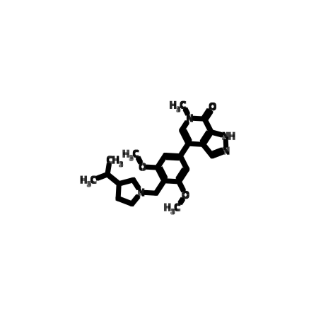 COc1cc(-c2cn(C)c(=O)c3[nH]ncc23)cc(OC)c1CN1CCC(C(C)C)C1